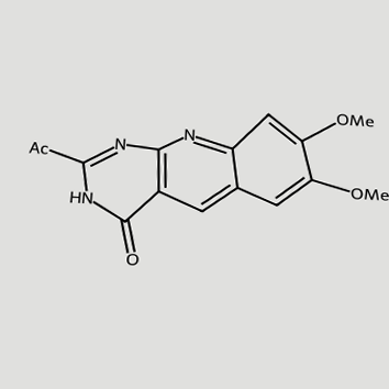 COc1cc2cc3c(=O)[nH]c(C(C)=O)nc3nc2cc1OC